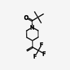 C=C(C1CCN(C(=O)C(C)(C)C)CC1)C(F)(F)F